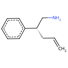 C=CC[C@@H](CN)c1ccccc1